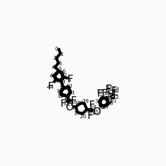 CCCCCc1cc(F)c(-c2ccc(C(F)(F)OC3CCC(C(F)(F)Oc4ccc(S(F)(F)(F)(F)F)c(F)c4)CC3)cc2)c(F)c1